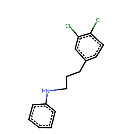 Clc1ccc(CCCNc2cc[c]cc2)cc1Cl